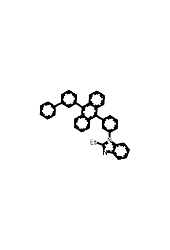 CCc1nc2ccccc2n1-c1cccc(-c2c3ccccc3c(-c3cccc(-c4ccccc4)c3)c3ccccc23)c1